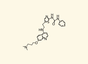 CN(C)CCCOc1ccc2c(NCCc3cnc(NC(=O)Nc4ccccc4)s3)ccnc2c1